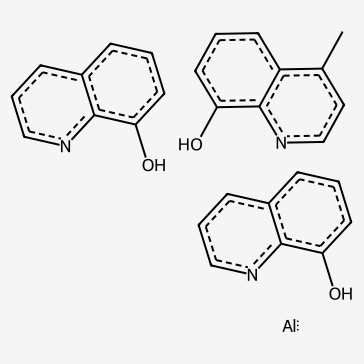 Cc1ccnc2c(O)cccc12.Oc1cccc2cccnc12.Oc1cccc2cccnc12.[Al]